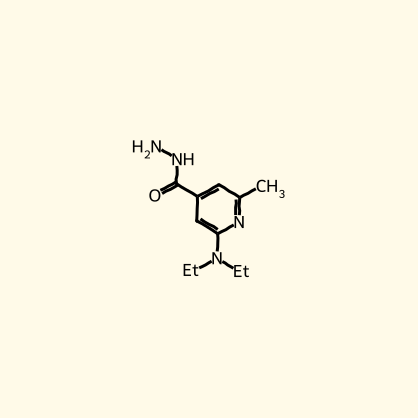 CCN(CC)c1cc(C(=O)NN)cc(C)n1